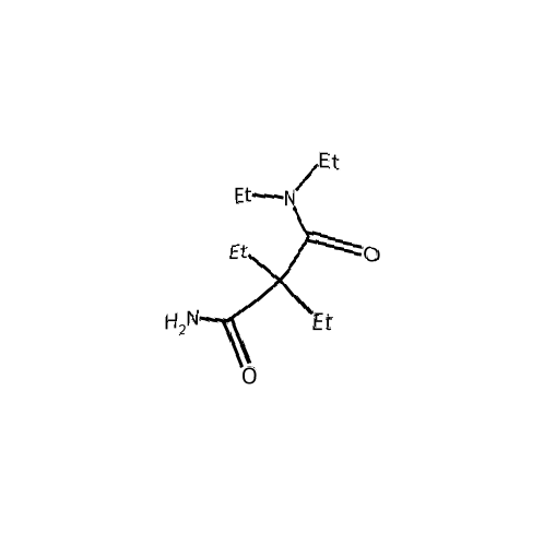 CCN(CC)C(=O)C(CC)(CC)C(N)=O